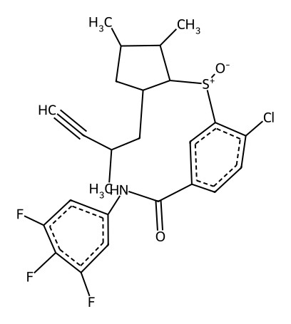 C#CC(C)CC1CC(C)C(C)C1[S+]([O-])c1cc(C(=O)Nc2cc(F)c(F)c(F)c2)ccc1Cl